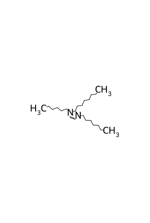 CCCCCCCC1N(CCCCCC)C=CN1CCCCCCC